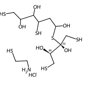 Cl.NCCS.OC(CC(S)C(O)C(O)CS)S[C@](O)(CS)[C@H](O)CS